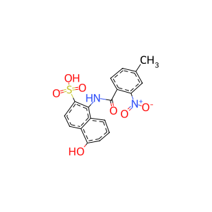 Cc1ccc(C(=O)Nc2c(S(=O)(=O)O)ccc3c(O)cccc23)c([N+](=O)[O-])c1